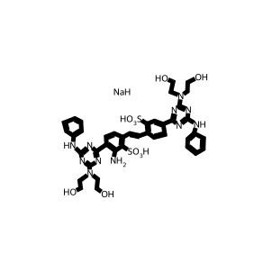 Nc1c(-c2nc(Nc3ccccc3)nc(N(CCO)CCO)n2)ccc(C=Cc2ccc(-c3nc(Nc4ccccc4)nc(N(CCO)CCO)n3)cc2S(=O)(=O)O)c1S(=O)(=O)O.[NaH]